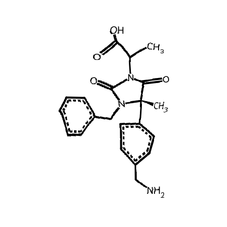 CC(C(=O)O)N1C(=O)N(Cc2ccccc2)[C@@](C)(c2ccc(CN)cc2)C1=O